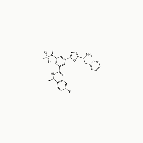 C[C@@H](NC(=O)c1cc(-c2ccc(C(N)Cc3ccccc3)o2)cc(N(C)S(C)(=O)=O)c1)c1ccc(F)cc1